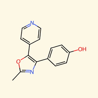 Cc1nc(-c2ccc(O)cc2)c(-c2ccncc2)o1